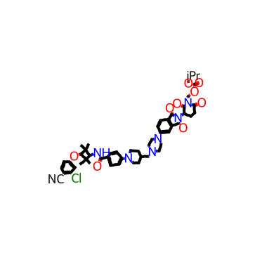 CC(C)OC(=O)OCN1C(=O)CCC(N2C(=O)c3ccc(N4CCN(CC5CCN(c6ccc(C(=O)NC7C(C)(C)C(Oc8ccc(C#N)c(Cl)c8)C7(C)C)cc6)CC5)CC4)cc3C2=O)C1=O